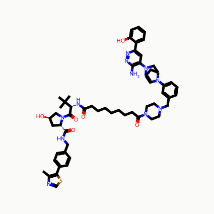 Cc1ncsc1-c1ccc(CNC(=O)[C@@H]2C[C@@H](O)CN2C(=O)[C@@H](NC(=O)CCCCCCCC(=O)N2CCN(Cc3cccc(N4C=C5CC4CN5c4cc(-c5ccccc5O)nnc4N)c3)CC2)C(C)(C)C)cc1